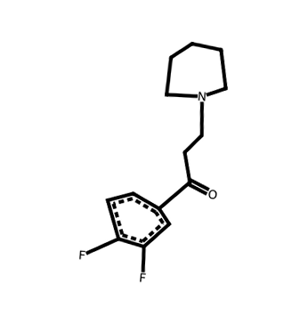 O=C(CCN1CCCCC1)c1ccc(F)c(F)c1